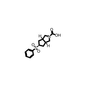 O=C(O)N1C[C@H]2C[C@H](S(=O)(=O)c3ccccc3)C[C@H]2C1